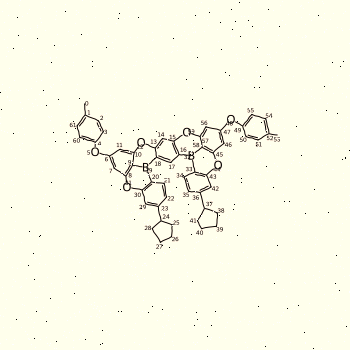 Cc1ccc(Oc2cc3c4c(c2)Oc2cc5c(cc2B4c2ccc(C4CCCC4)cc2O3)B2c3ccc(C4CCCC4)cc3Oc3cc(Oc4ccc(C)cc4)cc(c32)O5)cc1